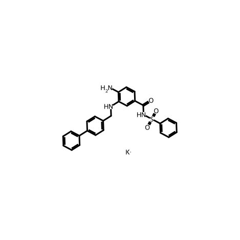 Nc1ccc(C(=O)NS(=O)(=O)c2ccccc2)cc1NCc1ccc(-c2ccccc2)cc1.[K]